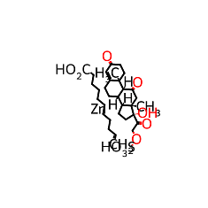 C=CCCCCCCCCC(=O)O.C[C@]12CCC(=O)C=C1CC[C@@H]1[C@@H]2C(=O)C[C@@]2(C)[C@H]1CC[C@]2(O)C(=O)COS(=O)(=O)O.[Zn]